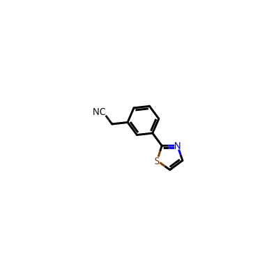 N#CCc1cccc(-c2nccs2)c1